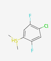 C[SH](C)c1cc(F)c(Cl)cc1F